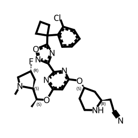 C[C@H](Oc1cc(O[C@H]2CCN[C@H](CC#N)C2)nc(-c2noc(C3(c4ccccc4Cl)CCC3)n2)n1)[C@@H]1C[C@@H](F)CN1C